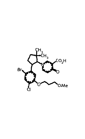 COCCCOc1cc(C2CCC(C)(C)C2n2ccc(=O)c(C(=O)O)c2)c(Br)cc1Cl